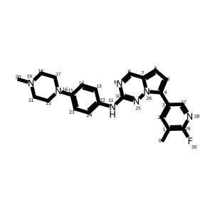 Cc1cc(-c2ccc3cnc(Nc4ccc(N5CCN(C)CC5)cc4)nn23)cnc1F